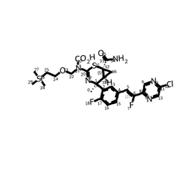 C[C@]1(c2cc(/C=C(\F)c3cnc(Cl)cn3)ccc2F)N=C(N(COCC[Si](C)(C)C)C(=O)O)S[C@@]2(C(N)=O)C[C@H]21